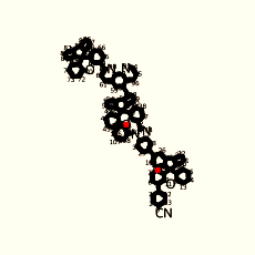 N#Cc1ccc(-c2cccc3c2Oc2ccccc2C32c3ccccc3-c3cc(-c4ccc5c(c4)nc(-c4cccc6c4Oc4ccccc4C64c6ccccc6-c6c(-c7cc8ccc(-c9cccc%10c9Oc9ccccc9C%109c%10ccccc%10-c%10ccccc%109)nc8c8ncccc78)cccc64)n5-c4ccccc4)ccc32)cc1